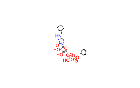 O=c1nc(NCC2CCCCC2)ccn1[C@@H]1O[C@H](COP(=O)(O)OP(=O)(O)OCc2ccccc2)[C@H](O)C1O